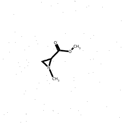 COC(=O)C1CN1C